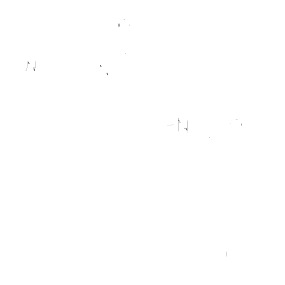 COc1ccc(C(=O)Nc2cccc3c(=O)n(CCN(C)C)ccc23)cc1C